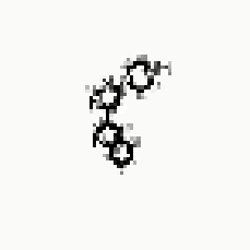 c1ccc2ncc(-c3cc(N4CCNCC4)ncn3)cc2c1